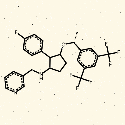 C[C@@H](OC1CCC(NCc2cccnc2)C1c1ccc(F)cc1)c1cc(C(F)(F)F)cc(C(F)(F)F)c1